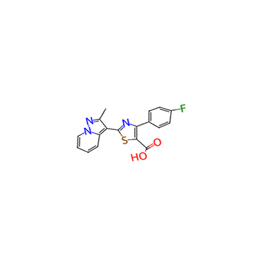 Cc1nn2ccccc2c1-c1nc(-c2ccc(F)cc2)c(C(=O)O)s1